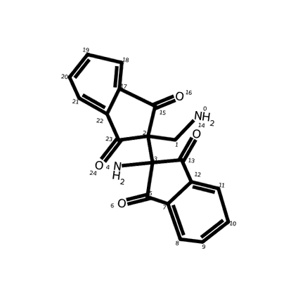 NCC1(C2(N)C(=O)c3ccccc3C2=O)C(=O)c2ccccc2C1=O